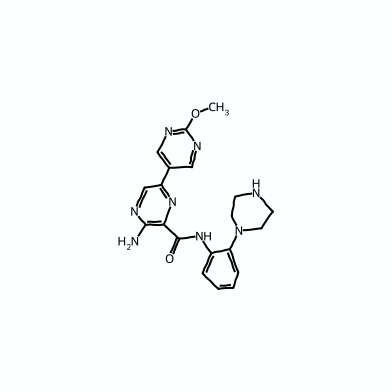 COc1ncc(-c2cnc(N)c(C(=O)Nc3ccccc3N3CCNCC3)n2)cn1